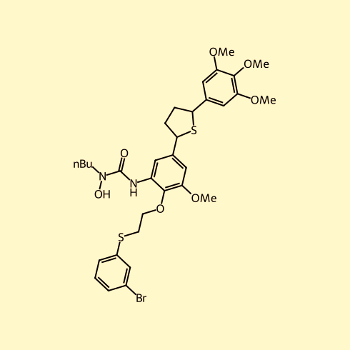 CCCCN(O)C(=O)Nc1cc(C2CCC(c3cc(OC)c(OC)c(OC)c3)S2)cc(OC)c1OCCSc1cccc(Br)c1